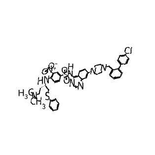 CN(C)CC[C@@H](CSc1ccccc1)Nc1ccc(S(=O)(=O)Nc2ncnc3cc(N4CCN(Cc5ccccc5-c5ccc(Cl)cc5)CC4)ccc23)cc1[N+](=O)[O-]